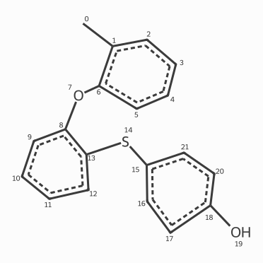 Cc1ccccc1Oc1ccccc1Sc1ccc(O)cc1